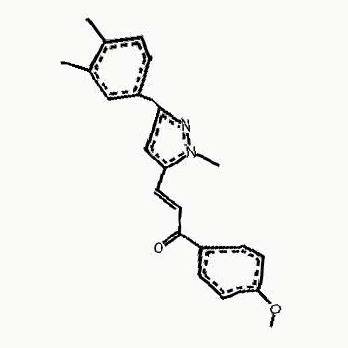 COc1ccc(C(=O)/C=C/c2cc(-c3ccc(C)c(C)c3)nn2C)cc1